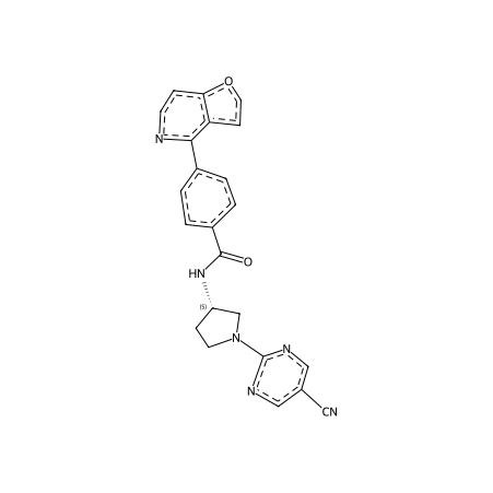 N#Cc1cnc(N2CC[C@H](NC(=O)c3ccc(-c4nccc5occc45)cc3)C2)nc1